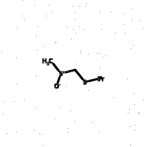 CC(C)SC[S+](C)[O-]